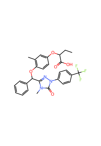 CCC(Oc1ccc(OC(c2ccccc2)c2nn(-c3ccc(C(F)(F)F)cc3)c(=O)n2C)c(C)c1)C(=O)O